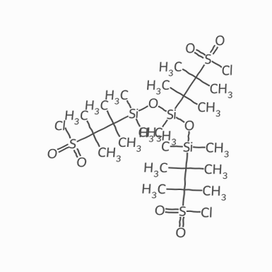 CC(C)(C(C)(C)S(=O)(=O)Cl)[Si](C)(C)O[Si](C)(O[Si](C)(C)C(C)(C)C(C)(C)S(=O)(=O)Cl)C(C)(C)C(C)(C)S(=O)(=O)Cl